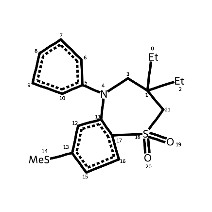 CCC1(CC)CN(c2ccccc2)c2cc(SC)ccc2S(=O)(=O)C1